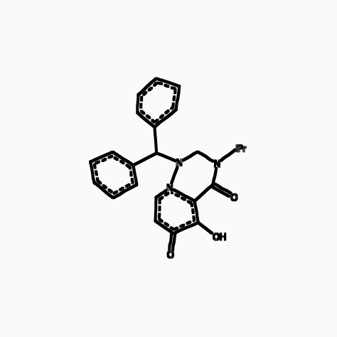 CC(C)N1CN(C(c2ccccc2)c2ccccc2)n2ccc(=O)c(O)c2C1=O